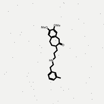 COc1cc2c(cc1OC)CC(=O)C(CCCNCCc1cccc(C)c1)CC2